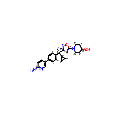 C[C@@](c1ccc(-c2ccc(N)nc2)cc1)(c1noc(N2CCC(O)CC2)n1)C1CC1